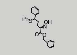 CC(C)OC(CCC(=NO)C(=O)OCc1ccccc1)c1ccccc1